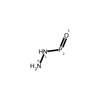 NNP=O